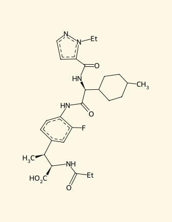 CCC(=O)N[C@@H](C(=O)O)[C@@H](C)c1ccc(NC(=O)[C@@H](NC(=O)c2ccnn2CC)C2CCC(C)CC2)c(F)c1